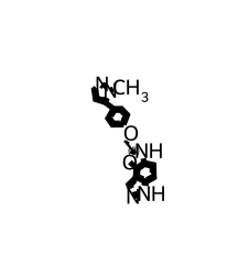 Cn1nccc1-c1ccc(OC[C@H]2Nc3ccc4[nH]ncc4c3O2)cc1